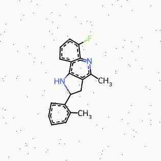 Cc1ccccc1C1Cc2c(C)nc3c(F)cccc3c2N1